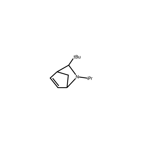 CC(C)N1C2C=CC(C2)C1C(C)(C)C